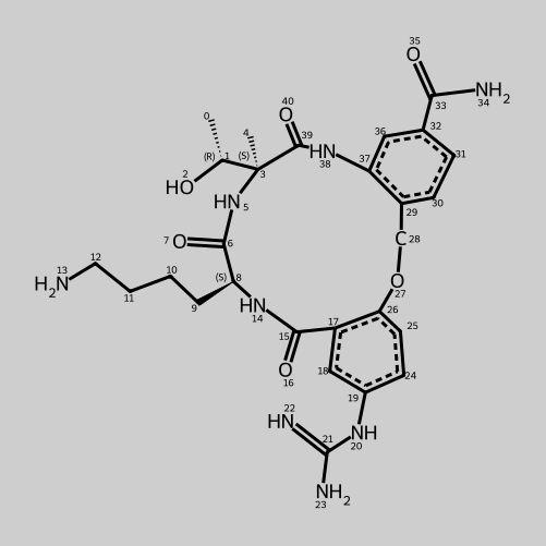 C[C@@H](O)[C@]1(C)NC(=O)[C@H](CCCCN)NC(=O)c2cc(NC(=N)N)ccc2OCc2ccc(C(N)=O)cc2NC1=O